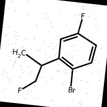 [CH2]C(CF)c1cc(F)ccc1Br